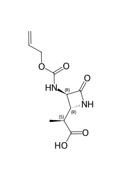 C=CCOC(=O)N[C@H]1C(=O)N[C@@H]1[C@H](C)C(=O)O